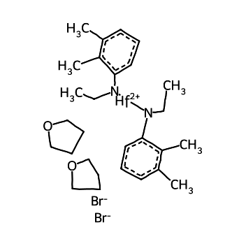 C1CCOC1.C1CCOC1.CC[N]([Hf+2][N](CC)c1cccc(C)c1C)c1cccc(C)c1C.[Br-].[Br-]